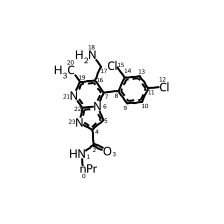 CCCNC(=O)c1cn2c(-c3ccc(Cl)cc3Cl)c(CN)c(C)nc2n1